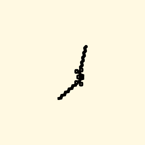 CCCCCCCCCCOC(=O)c1ccc(C(=O)OCCCCCCCCCC)o1